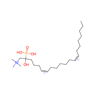 CCCCCCC/C=C\CCCCC/C=C\CCCC(O)(C[N+](C)(C)C)P(=O)(O)O